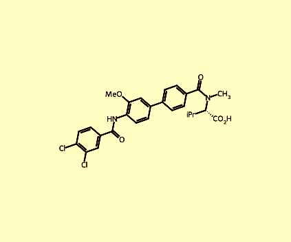 COc1cc(-c2ccc(C(=O)N(C)[C@H](C(=O)O)C(C)C)cc2)ccc1NC(=O)c1ccc(Cl)c(Cl)c1